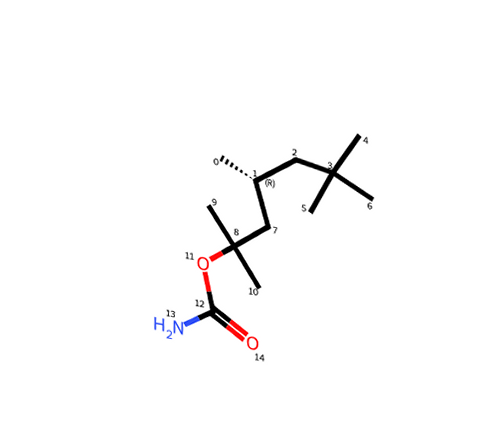 C[C@H](CC(C)(C)C)CC(C)(C)OC(N)=O